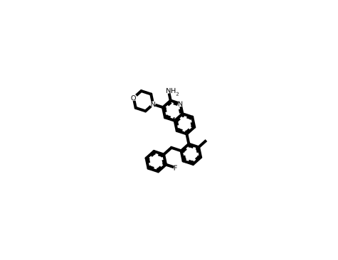 Cc1cccc(Cc2ccccc2F)c1-c1ccc2nc(N)c(N3CCOCC3)cc2c1